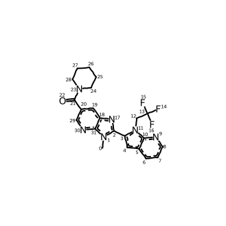 Cn1c(-c2cc3cccnc3n2CC(F)(F)F)nc2cc(C(=O)N3CCCCC3)cnc21